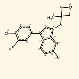 CC1(Cn2cc(-c3ccc(Cl)c(F)c3)c3ccc(Cl)nc32)COC1